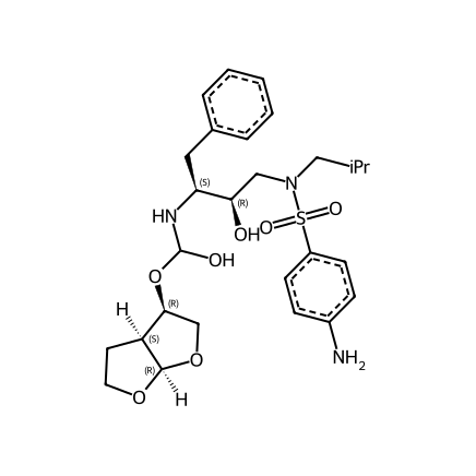 CC(C)CN(C[C@@H](O)[C@H](Cc1ccccc1)NC(O)O[C@H]1CO[C@H]2OCC[C@H]21)S(=O)(=O)c1ccc(N)cc1